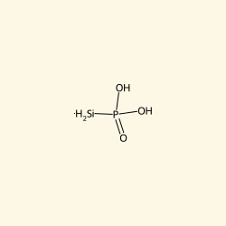 O=P(O)(O)[SiH2]